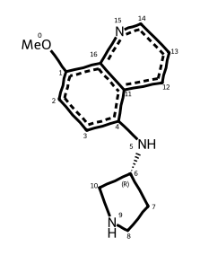 COc1ccc(N[C@@H]2CCNC2)c2cccnc12